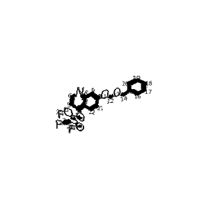 O=S(=O)(Oc1ccnc2cc(OCOCc3ccccc3)ccc12)C(F)(F)F